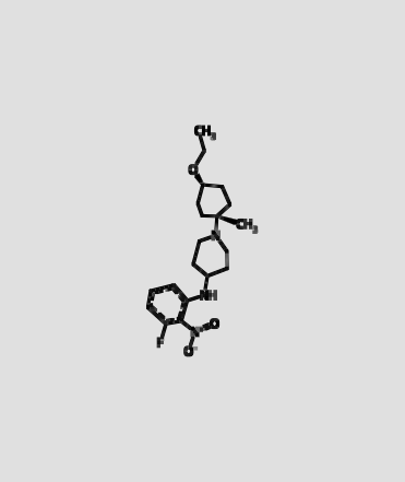 CCO[C@H]1CC[C@](C)(N2CCC(Nc3cccc(F)c3[N+](=O)[O-])CC2)CC1